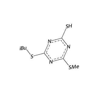 CCC(C)Sc1nc(S)nc(SC)n1